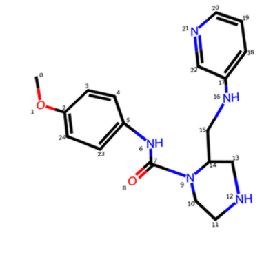 COc1ccc(NC(=O)N2CCNCC2CNc2cccnc2)cc1